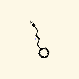 N#CC/C=C/Cc1ccccc1